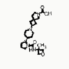 CC1(NC(=O)N2CCC[C@H]2C2CCN(C3CC4(CCN(C(=O)O)C4)C3)CC2)COC1